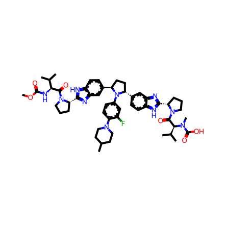 COC(=O)N[C@H](C(=O)N1CCC[C@H]1c1nc2cc([C@H]3CC[C@H](c4ccc5[nH]c([C@@H]6CCCN6C(=O)[C@H](C(C)C)N(C)C(=O)O)nc5c4)N3c3ccc(N4CCC(C)CC4)c(F)c3)ccc2[nH]1)C(C)C